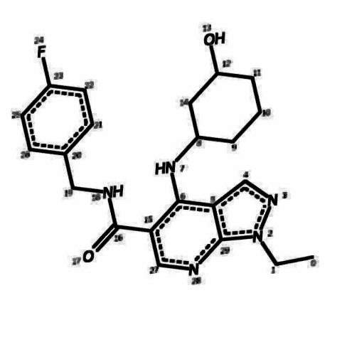 CCn1ncc2c(NC3CCCC(O)C3)c(C(=O)NCc3ccc(F)cc3)cnc21